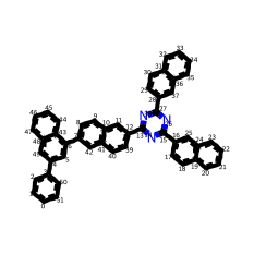 c1ccc(-c2cc(-c3ccc4cc(-c5nc(-c6ccc7ccccc7c6)nc(-c6ccc7ccccc7c6)n5)ccc4c3)c3ccccc3c2)cc1